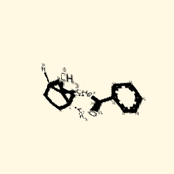 CC1(C)[C@@H]2CC[C@]1(C)[C@@H](OC(=O)c1ccccc1)C2